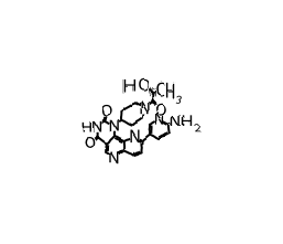 C[C@H](O)C(=O)N1CCC(n2c(=O)[nH]c(=O)c3cnc4ccc(-c5ccc(N)nc5)nc4c32)CC1